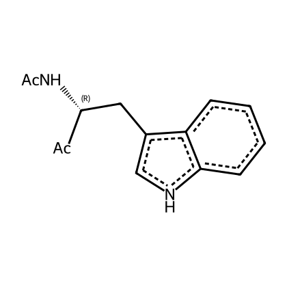 CC(=O)N[C@H](Cc1c[nH]c2ccccc12)C(C)=O